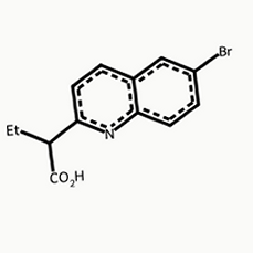 CCC(C(=O)O)c1ccc2cc(Br)ccc2n1